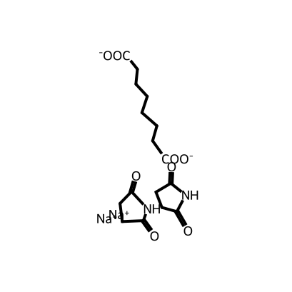 O=C([O-])CCCCCCC(=O)[O-].O=C1CCC(=O)N1.O=C1CCC(=O)N1.[Na+].[Na+]